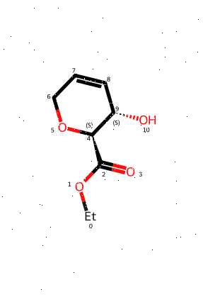 CCOC(=O)[C@H]1OCC=C[C@@H]1O